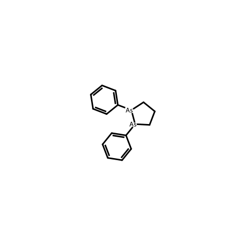 c1ccc([As]2CCC[As]2c2ccccc2)cc1